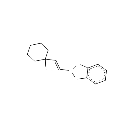 NC1(C=CB2Oc3ccccc3O2)CCCCC1